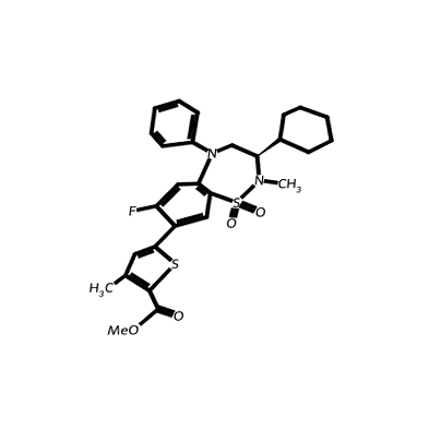 COC(=O)c1sc(-c2cc3c(cc2F)N(c2ccccc2)C[C@@H](C2CCCCC2)N(C)S3(=O)=O)cc1C